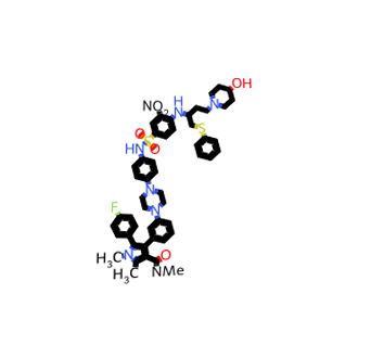 CNC(=O)c1c(-c2cccc(N3CCN(c4ccc(NS(=O)(=O)c5ccc(NC(CCN6CCC(O)CC6)CSc6ccccc6)c([N+](=O)[O-])c5)cc4)CC3)c2)c(-c2ccc(F)cc2)n(C)c1C